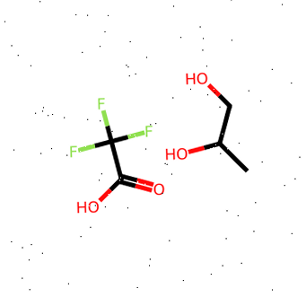 CC(O)CO.O=C(O)C(F)(F)F